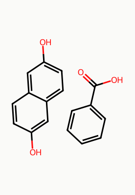 O=C(O)c1ccccc1.Oc1ccc2cc(O)ccc2c1